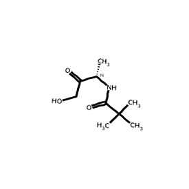 C[C@H](NC(=O)C(C)(C)C)C(=O)CO